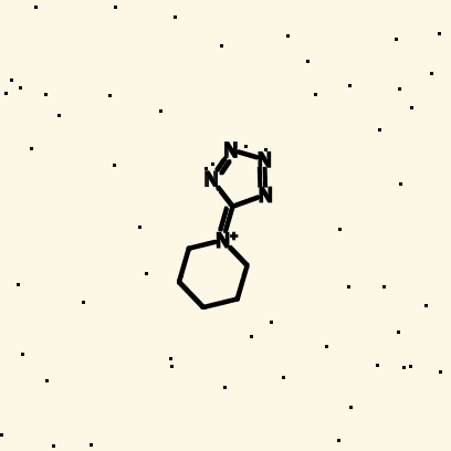 C1CC[N+](=C2N=NN=N2)CC1